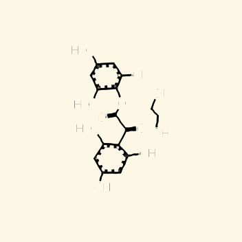 Cc1cc(C)c(OC(=O)C(=O)c2c(C)cc(C)cc2C)c(C)c1.OCCO